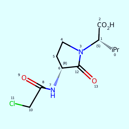 CC(C)[C@@H](C(=O)O)N1CC[C@@H](NC(=O)CCl)C1=O